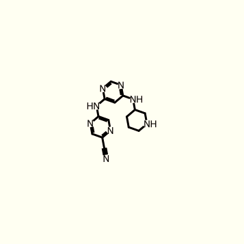 N#Cc1cnc(Nc2cc(NC3CCCNC3)ncn2)cn1